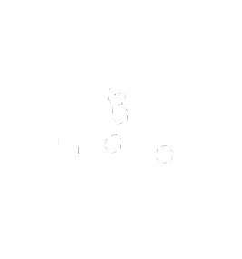 Cn1ncc2cc(-c3cc(CCC(=O)O)ccc3OCCc3ccc(F)cc3)ccc21